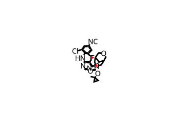 [C-]#[N+]c1cc(F)c(Nc2ncnc(OC3C4COCC3CN(C(=O)OC3(C)CC3)C4)c2F)c(Cl)c1